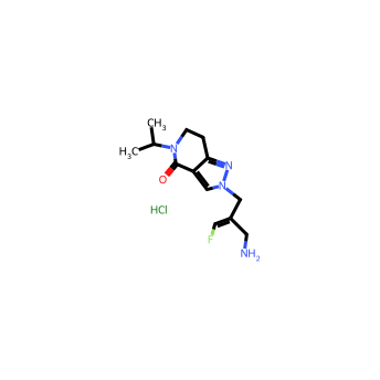 CC(C)N1CCc2nn(CC(=CF)CN)cc2C1=O.Cl